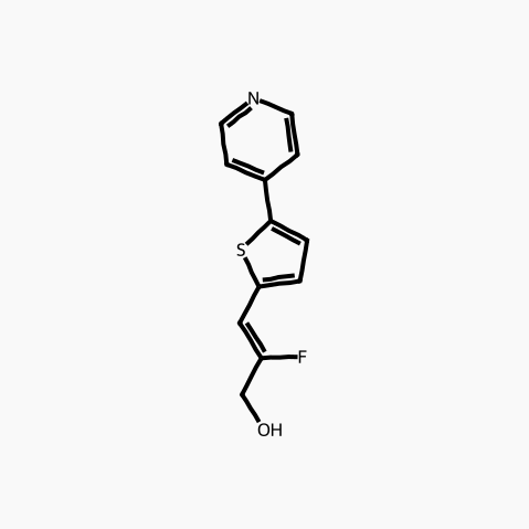 OC/C(F)=C/c1ccc(-c2ccncc2)s1